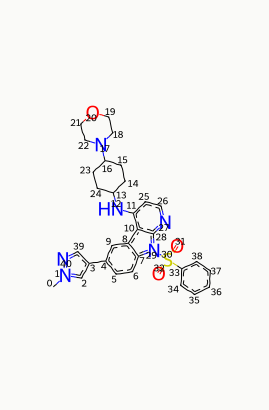 Cn1cc(-c2ccc3c(c2)c2c(NC4CCC(N5CCOCC5)CC4)ccnc2n3S(=O)(=O)c2ccccc2)cn1